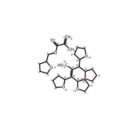 C=C(C)C(=O)OCC1CCCO1.O=C(O)C(=C(C1CCCO1)C1CCCO1)C(C1CCCO1)C1CCCO1